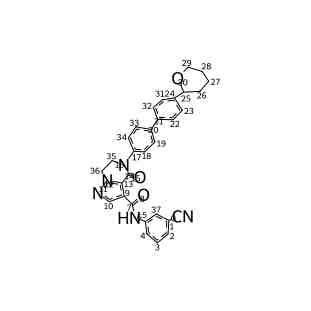 N#Cc1cccc(NC(=O)c2cnn3c2C(=O)N(c2ccc(-c4ccc(C5CCCCO5)cc4)cc2)CC3)c1